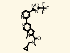 CN(CC1CC1)C(=O)c1cc2cc(-c3cc(-c4noc(C(F)(F)F)n4)ccn3)ncc2n1C